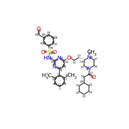 Cc1cccc(C)c1-c1cc(OCC[C@H]2CN(C(=O)CC3CCCCC3)CCN2C)nc(NS(=O)(=O)c2cccc(C=O)c2)n1